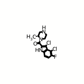 C[C@H]1CNCCN1C(=O)c1[nH]c2ccc(F)c(Cl)c2c1Cl